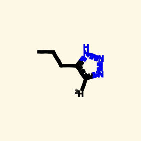 [2H]c1nn[nH]c1CCC